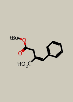 CC(C)(C)OC(=O)C/C(=C\c1ccccc1)C(=O)O